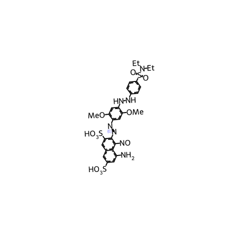 CCN(CC)S(=O)(=O)c1ccc(NNc2cc(OC)c(/N=N/c3c(S(=O)(=O)O)cc4cc(S(=O)(=O)O)cc(N)c4c3N=O)cc2OC)cc1